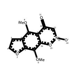 COc1c2occc2c(OC)c2c(=O)c[n+]([O-])oc12